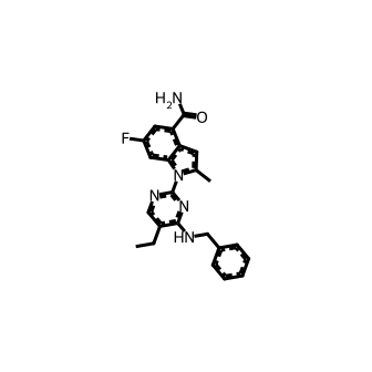 CCc1cnc(-n2c(C)cc3c(C(N)=O)cc(F)cc32)nc1NCc1ccccc1